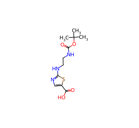 CC(C)(C)OC(=O)NCCNc1ncc(C(=O)O)s1